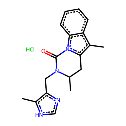 Cc1[nH]cnc1CN1C(=O)n2c(c(C)c3ccccc32)CC1C.Cl